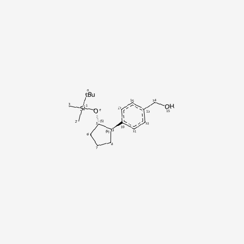 CC(C)(C)[Si](C)(C)O[C@H]1CCC[C@@H]1c1ccc(CO)cc1